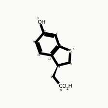 O=C(O)C[C@@H]1CSc2cc(O)ccc21